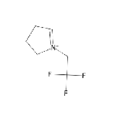 FC(F)(F)C[N+]1=CCCC1